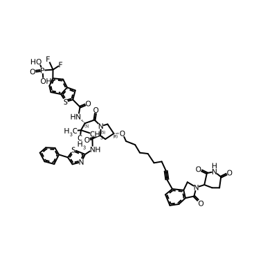 CC(C)(C)[C@H](NC(=O)c1cc2cc(C(F)(F)P(=O)(O)O)ccc2s1)C(=O)N1C[C@H](OCCCCCCC#Cc2cccc3c2CN(C2CCC(=O)NC2=O)C3=O)C[C@H]1C(=O)Nc1ncc(-c2ccccc2)s1